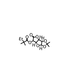 CCC(C)(C)C(=O)OC1C(=O)O[C@@H]2[C@H]3OC(C)(C)O[C@H]3O[C@H]12